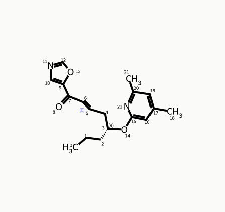 CCC[C@H](C/C=C/C(=O)c1cnco1)Oc1cc(C)cc(C)n1